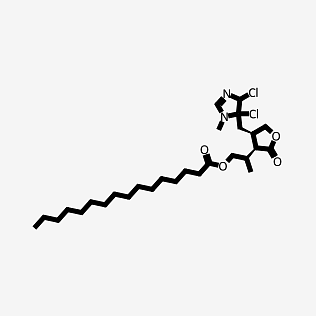 CCCCCCCCCCCCCCCC(=O)OCC(C)[C@@H]1C(=O)OC[C@@H]1CC1(Cl)C(Cl)N=CN1C